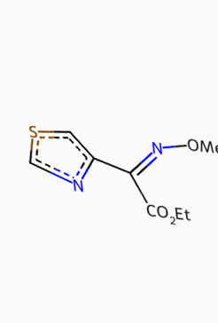 CCOC(=O)C(=NOC)c1cscn1